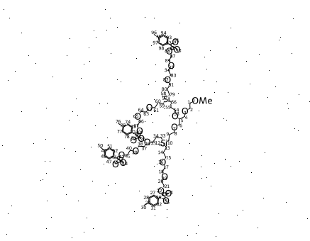 COCCOCC(COCCC[Si](C)(CCCOCCOCCOS(=O)(=O)c1ccc(C)cc1)CCCOCCOCCOS(=O)(=O)c1ccc(C)cc1)OCCC[Si](C)(CCCOCCOCCOS(=O)(=O)c1ccc(C)cc1)CCCOCCOCCOS(=O)(=O)c1ccc(C)cc1